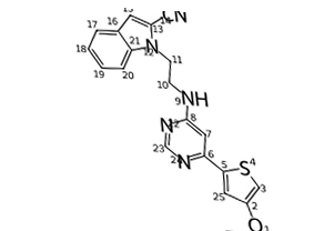 CCOc1csc(-c2cc(NCCn3c(C#N)cc4ccccc43)ncn2)c1